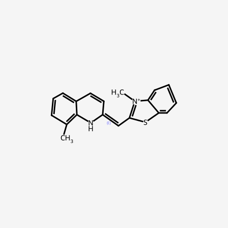 Cc1cccc2c1N/C(=C/c1sc3ccccc3[n+]1C)C=C2